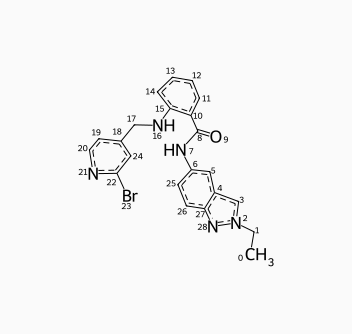 CCn1cc2cc(NC(=O)c3ccccc3NCc3ccnc(Br)c3)ccc2n1